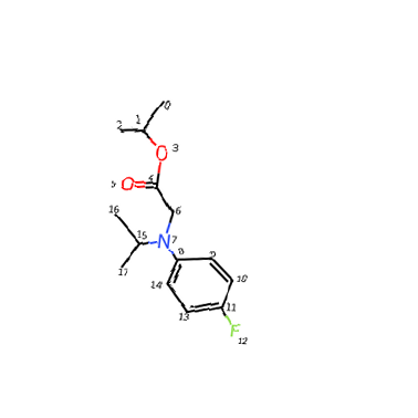 CC(C)OC(=O)CN(c1ccc(F)cc1)C(C)C